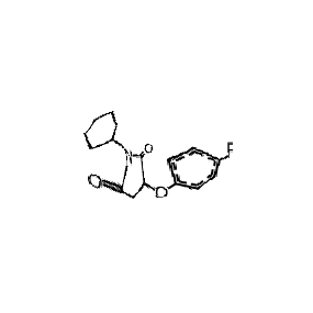 O=C1CC(Oc2ccc(F)cc2)C(=O)N1C1CCCCC1